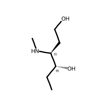 CC[C@@H](O)[C@H](CCO)NC